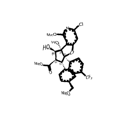 COCc1ccc([C@@H]2[C@@H](C(=O)OC)[C@@H](O)[C@@]3(O)c4c(cc(Cl)nc4OC)O[C@@]23c2ccc(C(F)(F)F)cc2)cc1